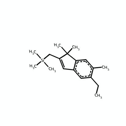 CCc1cc2c(cc1C)C(C)(C)C(C[Si](C)(C)C)=C2